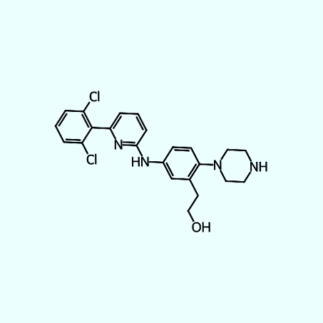 OCCc1cc(Nc2cccc(-c3c(Cl)cccc3Cl)n2)ccc1N1CCNCC1